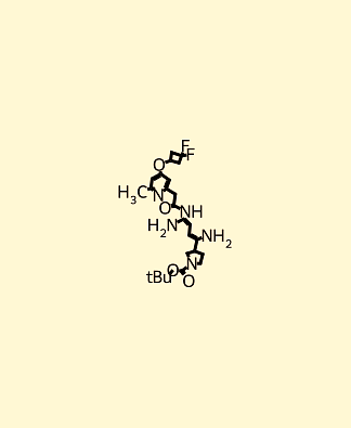 Cc1cc(OC2CC(F)(F)C2)cc(CC(=O)N/C(N)=C/C=C(\N)C2CCN(C(=O)OC(C)(C)C)C2)n1